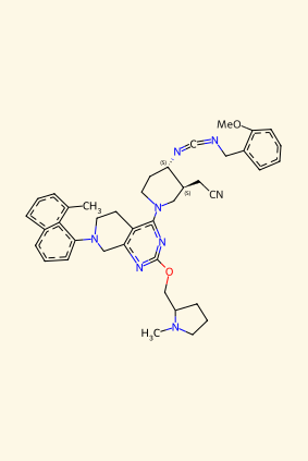 COc1ccccc1CN=C=N[C@H]1CCN(c2nc(OCC3CCCN3C)nc3c2CCN(c2cccc4cccc(C)c24)C3)C[C@@H]1CC#N